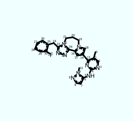 Cc1cnc(Nc2ccnn2C)nc1-c1cc2n(c1)CCCn1c(Cc3ccccc3F)nnc1-2